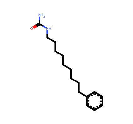 NC(=O)NCCCCCCCCCc1ccccc1